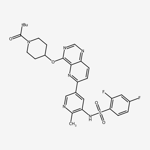 Cc1ncc(-c2ccc3ncnc(OC4CCN(C(=O)C(C)(C)C)CC4)c3n2)cc1NS(=O)(=O)c1ccc(F)cc1F